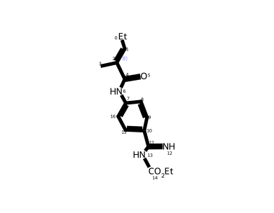 CC/C=C(\C)C(=O)Nc1ccc(C(=N)NC(=O)OCC)cc1